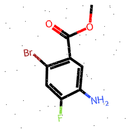 COC(=O)c1cc(N)c(F)cc1Br